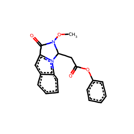 CON1C(=O)c2cc3ccccc3n2C1CC(=O)Oc1ccccc1